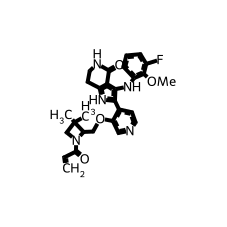 C=CC(=O)N1CC(C)(C)C1COc1cnccc1-c1[nH]c2c(c1Nc1cccc(F)c1OC)C(=O)NCC2